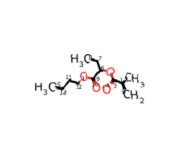 C=C(C)C(=O)OC(CC)C(=O)OCCCC